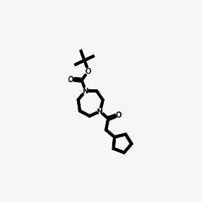 CC(C)(C)OC(=O)N1CCCN(C(=O)CC2CCCC2)CC1